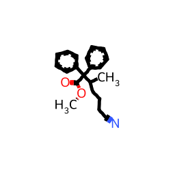 COC(=O)C(c1ccccc1)(c1ccccc1)C(C)CCCC#N